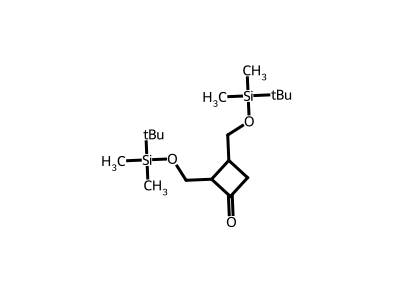 CC(C)(C)[Si](C)(C)OCC1CC(=O)C1CO[Si](C)(C)C(C)(C)C